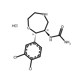 Cl.NC(=O)N[C@@H]1CNCCO[C@H]1c1ccc(Cl)c(Cl)c1